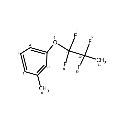 Cc1cccc(OC(F)(F)C(C)(F)F)c1